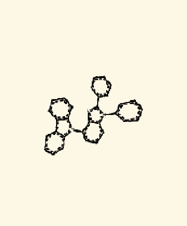 c1ccc(-c2nc3c(-n4c5ccccc5c5ccccc54)cccc3n2-c2ccccc2)cc1